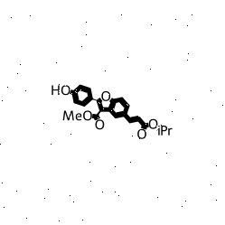 COC(=O)[C@@H]1c2cc(/C=C/C(=O)OC(C)C)ccc2O[C@H]1c1ccc(O)cc1